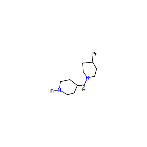 CC(C)C1CCN(BC2CCN(C(C)C)CC2)CC1